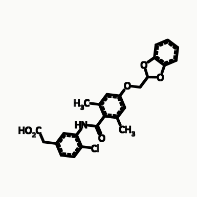 Cc1cc(OCC2Oc3ccccc3O2)cc(C)c1C(=O)Nc1cc(CC(=O)O)ccc1Cl